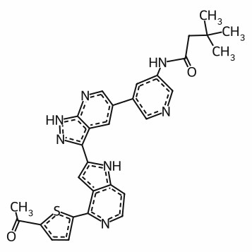 CC(=O)c1ccc(-c2nccc3[nH]c(-c4n[nH]c5ncc(-c6cncc(NC(=O)CC(C)(C)C)c6)cc45)cc23)s1